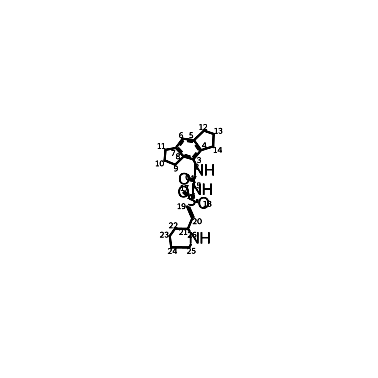 O=C(Nc1c2c(cc3c1CCC3)CCC2)NS(=O)(=O)/C=C/C1CCCCN1